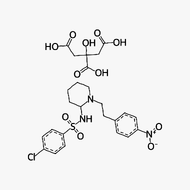 O=C(O)CC(O)(CC(=O)O)C(=O)O.O=[N+]([O-])c1ccc(CCN2CCCCC2NS(=O)(=O)c2ccc(Cl)cc2)cc1